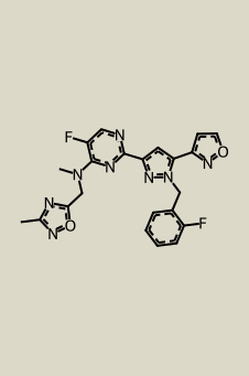 Cc1noc(CN(C)c2nc(-c3cc(-c4ccon4)n(Cc4ccccc4F)n3)ncc2F)n1